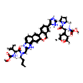 CCC[C@H](C)N(Cc1nc2ccc3cc4c(cc3c2[nH]1)OCc1cc(-c2cnc([C@@H]3CC[C@H](C)N3C(=O)[C@H](NC(=O)OC)C3C[C@@H](C)O[C@H](C)C3)[nH]2)ccc1-4)C(=O)[C@@H](NC(=O)OC)C(C)C